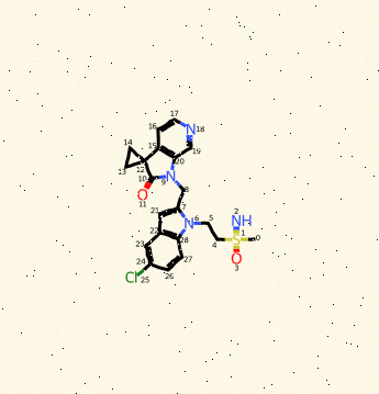 CS(=N)(=O)CCn1c(CN2C(=O)C3(CC3)c3ccncc32)cc2cc(Cl)ccc21